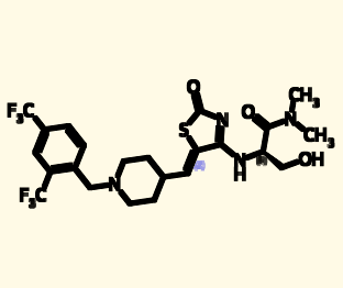 CN(C)C(=O)[C@@H](CO)NC1=NC(=O)S/C1=C\C1CCN(Cc2ccc(C(F)(F)F)cc2C(F)(F)F)CC1